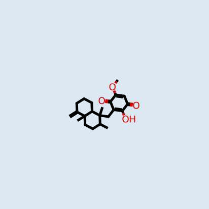 C=C1CCCC2C1(C)CCC(C)C2(C)CC1=C(O)C(=O)C=C(OC)C1=O